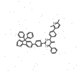 C=C1C(c2ccccc2)=NC(c2ccc(-c3ccc4c(c3)C(c3ccccc3)(c3ccccc3)c3ccccc3-4)cc2)=NC1c1ccc(-c2ccc(C)nc2C)cc1